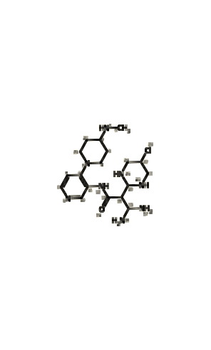 CNC1CCN(c2ccncc2NC(=O)C(C(N)N)C2NCC(Cl)CN2)CC1